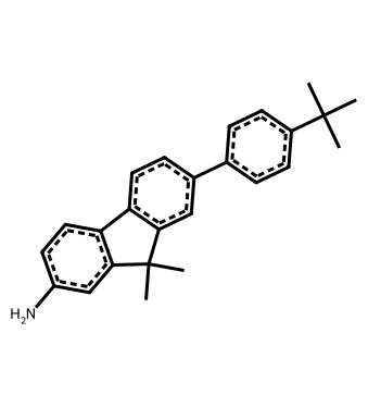 CC(C)(C)c1ccc(-c2ccc3c(c2)C(C)(C)c2cc(N)ccc2-3)cc1